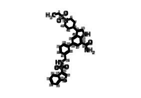 CCS(=O)(=O)N1CCC(c2c[nH]c3c(C(N)=O)cc(-c4cccc(CNS(=O)(=O)c5csc6ccccc56)c4)cc23)CC1